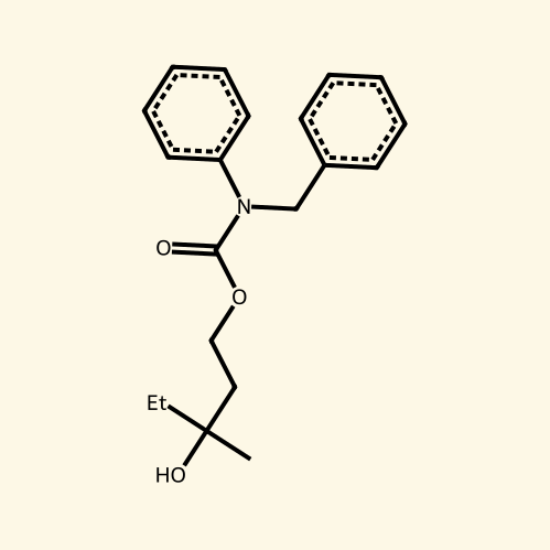 CCC(C)(O)CCOC(=O)N(Cc1ccccc1)c1ccccc1